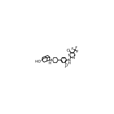 COc1cc(C2CCN([C@H]3C4CC5CC3C[C@](O)(C5)C4)CC2)ccc1Nc1ncc(C(F)(F)F)c(Cl)n1